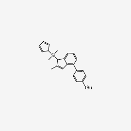 CC1=Cc2c(-c3ccc(C(C)(C)C)cc3)cccc2C1[Si](C)(C)C1C=CC=C1